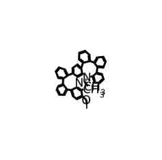 Cc1c(OI)ccc2c1-[n+]1c(C)n3c4ccccc4c4ccccc4c4ccccc4c4ccc(c1c43)-c1ccccc1-c1ccccc1-2